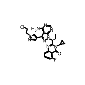 CC[C@@H](c1nc2cccc(F)c2c(=O)n1C1CC1)n1nc(-c2cnn(CCCl)c2)c2c(N)ncnc21